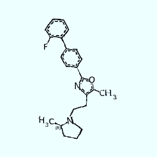 Cc1oc(-c2ccc(-c3ccccc3F)cc2)nc1CCN1CCC[C@H]1C